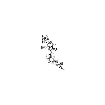 CCn1c(=C(C#N)C(=O)NCC(F)(F)F)sc(=CNc2cccc(OCC(=O)OC)c2)c1=O